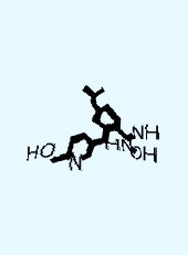 CC(C)Cc1ccc(C(=N)NO)c(Cc2ccc(CO)nc2)c1